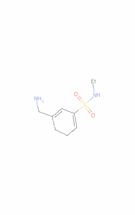 CCNS(=O)(=O)C1=CCCC(CN)=C1